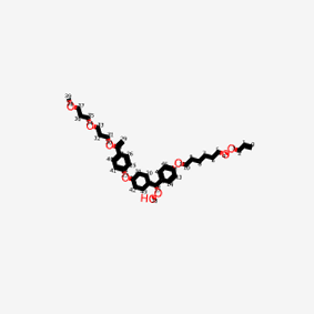 C=CCOOCCCCCCOc1ccc(C(OO)C2CCC(Oc3ccc(C(=C)OCCCOCCCOC)cc3)CC2)cc1